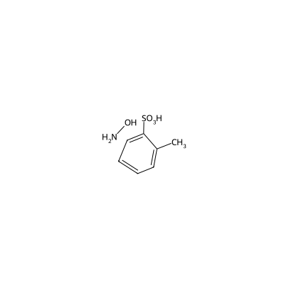 Cc1ccccc1S(=O)(=O)O.NO